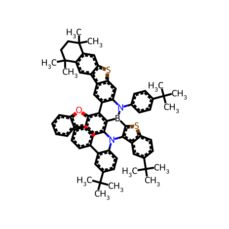 CC(C)(C)c1ccc(N2B3c4sc5ccc(C(C)(C)C)cc5c4N(c4ccc(C(C)(C)C)cc4-c4ccccc4)c4cc5c(oc6ccccc65)c(c43)-c3cc4c(cc32)sc2cc3c(cc24)C(C)(C)CCC3(C)C)cc1